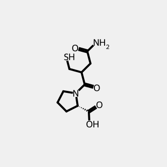 NC(=O)CC(CS)C(=O)N1CCC[C@H]1C(=O)O